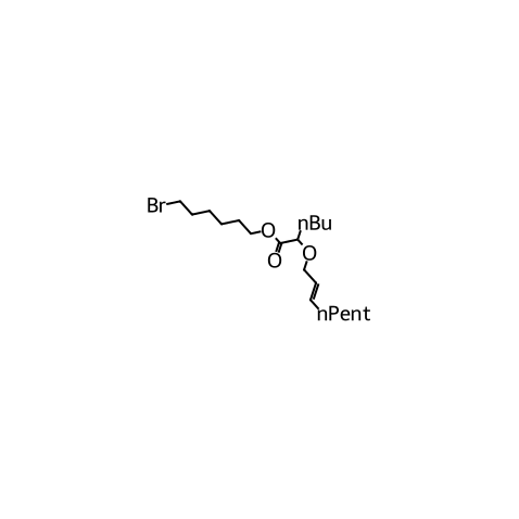 CCCCC/C=C/COC(CCCC)C(=O)OCCCCCCBr